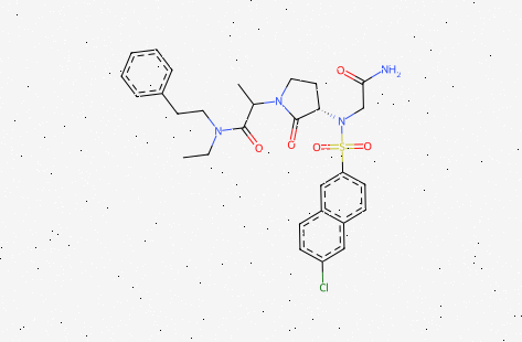 CCN(CCc1ccccc1)C(=O)C(C)N1CC[C@H](N(CC(N)=O)S(=O)(=O)c2ccc3cc(Cl)ccc3c2)C1=O